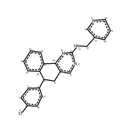 Clc1ccc(C2Cc3cnc(NCc4cccnc4)nc3-c3ccccc32)cc1